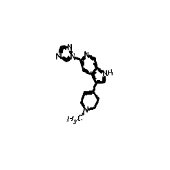 CN1CC=C(c2c[nH]c3cnc(-n4cncn4)cc23)CC1